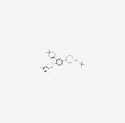 Cc1cc(C(=O)Nc2ccc(C3CCCN(C(=O)OC(C)(C)C)CC3)cc2C2=CCC(C)(C)CC2)no1